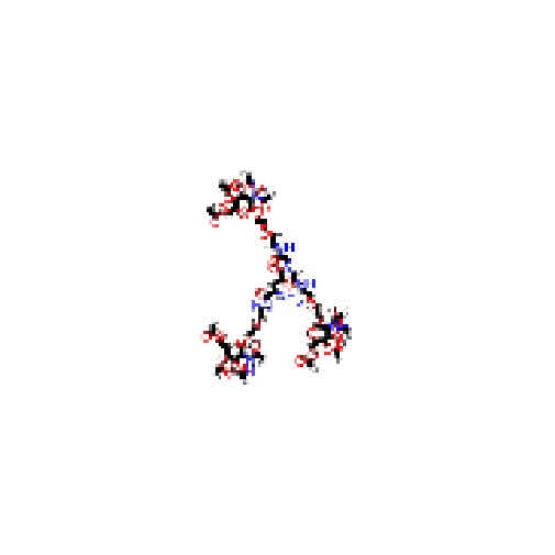 CC(=O)NC1C(OCCOCCNC(=O)CN(CC(=O)NCCOCCOC2(NC(C)=O)COC(COC(C)=O)C(OC(C)=O)C2OC(C)=O)C(=O)CCC(N)C(=O)NCCOCCOC2OC(COC(C)=O)C(OC(C)=O)C(OC(C)=O)C2NC(C)=O)OC(COC(C)=O)C(OC(C)=O)C1OC(C)=O